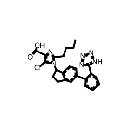 CCCCc1nc(C(=O)O)c(Cl)n1C1CCc2cc(-c3ccccc3-c3nnn[nH]3)ccc21